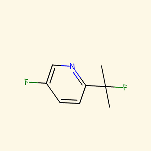 CC(C)(F)c1ccc(F)cn1